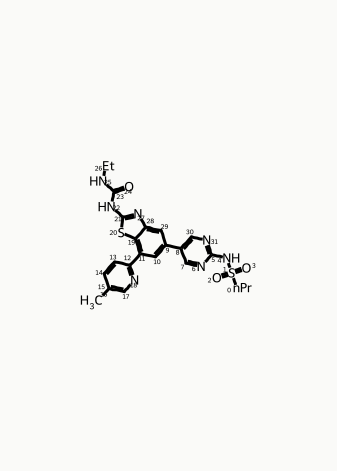 CCCS(=O)(=O)Nc1ncc(-c2cc(-c3ccc(C)cn3)c3sc(NC(=O)NCC)nc3c2)cn1